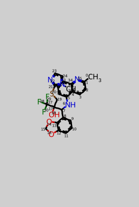 Cc1ccc2c(NC(c3cccc4c3OCO4)C(O)(CSc3nccn3C)C(F)(F)F)cccc2n1